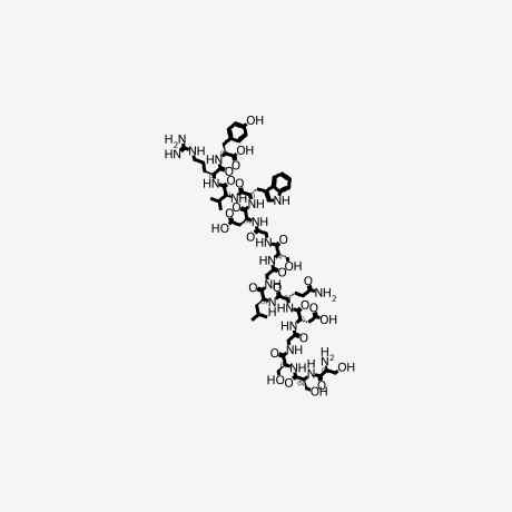 CC(C)C[C@H](NC(=O)[C@H](CCC(N)=O)NC(=O)[C@H](CC(=O)O)NC(=O)CNC(=O)[C@H](CO)NC(=O)[C@H](CO)NC(=O)[C@@H](N)CO)C(=O)NCC(=O)N[C@@H](CO)C(=O)NCC(=O)N[C@@H](CC(=O)O)C(=O)N[C@@H](Cc1c[nH]c2ccccc12)C(=O)N[C@H](C(=O)N[C@@H](CCCNC(=N)N)C(=O)N[C@@H](Cc1ccc(O)cc1)C(=O)O)C(C)C